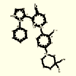 O=c1ccn(-c2ccc(N3CCCC(F)(F)C3)cc2F)nc1-c1ccnn1-c1ccccc1